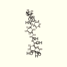 O=C(NC(c1ccccc1)c1cccc(CCNC[C@H](O)c2ccc(O)c3[nH]c(=O)ccc23)c1)O[C@H]1CN2CCC1CC2